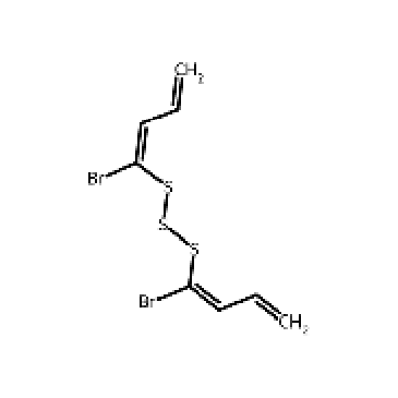 C=C/C=C(/Br)SSS/C(Br)=C\C=C